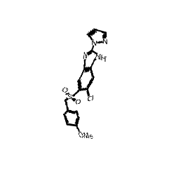 COc1ccc(CS(=O)(=O)c2cc3nc(-n4cccn4)[nH]c3cc2Cl)cc1